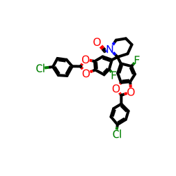 O=CN1CCCCC1(c1cc2c(cc1F)OC(c1ccc(Cl)cc1)O2)c1cc2c(cc1F)OC(c1ccc(Cl)cc1)O2